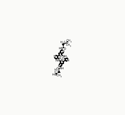 COC(C)(C)[C@H]1C[C@@H]1C(=O)Nc1cc2cc(-c3cnccc3CNc3nc(-c4cnccc4C)cc4cc(NC(=O)[C@@H]5C[C@H]5C(C)(C)O)ncc34)nc(N)c2cn1